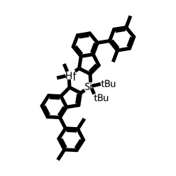 Cc1ccc(C)c(-c2cccc3c2C=C2[CH]3[Hf]([CH3])([CH3])[CH]3C(=Cc4c(-c5cc(C)ccc5C)cccc43)[Si]2(C(C)(C)C)C(C)(C)C)c1